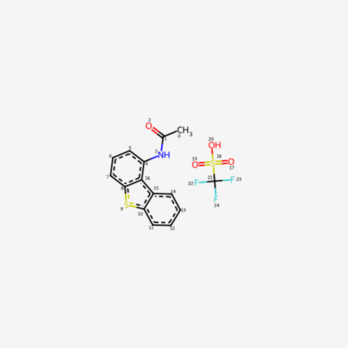 CC(=O)Nc1cccc2sc3ccccc3c12.O=S(=O)(O)C(F)(F)F